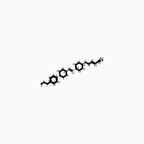 CCCc1ccc([C@H]2CC[C@H](/C=C/[C@H]3CC[C@H](CCC=CC#N)CC3)CC2)cc1